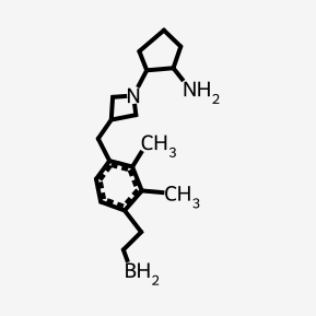 BCCc1ccc(CC2CN(C3CCCC3N)C2)c(C)c1C